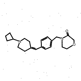 O=C1COCCN1Cc1ccc(C=C2CCN(C3CCC3)CC2)cc1